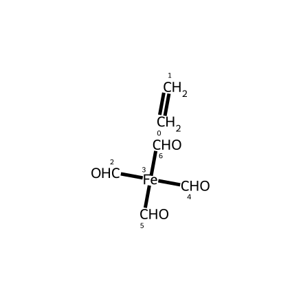 C=C.O=[CH][Fe]([CH]=O)([CH]=O)[CH]=O